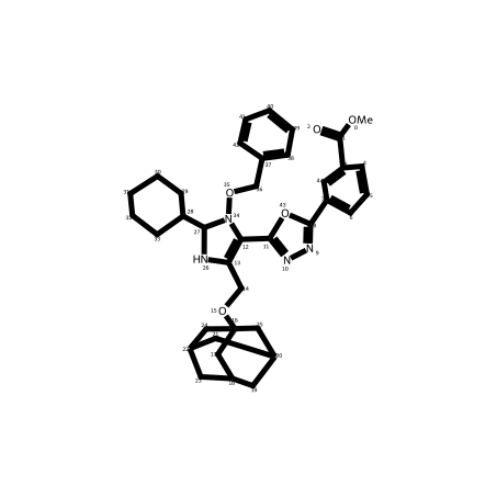 COC(=O)c1cccc(-c2nnc(C3=C(COC45CC6CC(CC(C6)C4)C5)NC(C4CCCCC4)N3OCc3ccccc3)o2)c1